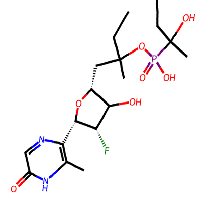 CCC(C)(C[C@H]1O[C@@H](c2ncc(=O)[nH]c2C)[C@@H](F)C1O)OP(=O)(O)C(C)(O)CC